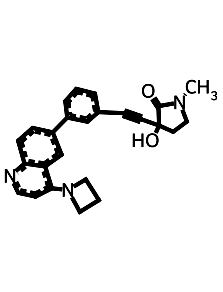 CN1CCC(O)(C#Cc2cccc(-c3ccc4nccc(N5CCC5)c4c3)c2)C1=O